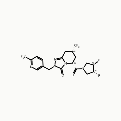 O=C([C@H]1C[C@@H](C(F)(F)F)Cc2nn(Cc3ccc(C(F)(F)F)nc3)c(=O)n21)N1C[C@@H](F)[C@H](F)C1